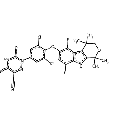 CC1(C)COC(C)(C)c2[nH]c3c(F)cc(Oc4c(Cl)cc(-n5nc(C#N)c(=O)[nH]c5=O)cc4Cl)c(F)c3c21